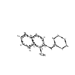 Oc1c(CN2CCCCC2)ccc2cccnc12